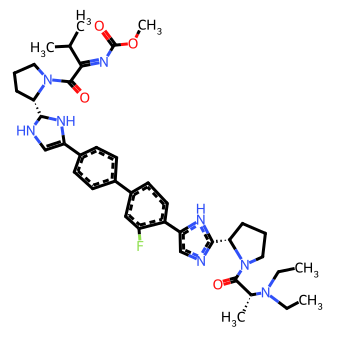 CCN(CC)[C@H](C)C(=O)N1CCC[C@H]1c1ncc(-c2ccc(-c3ccc(C4=CNC([C@@H]5CCCN5C(=O)/C(=N/C(=O)OC)C(C)C)N4)cc3)cc2F)[nH]1